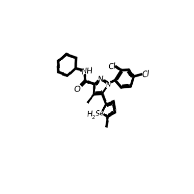 CC1=CC=C(c2c(C)c(C(=O)NC3CCCCC3)nn2-c2ccc(Cl)cc2Cl)[SeH2]1